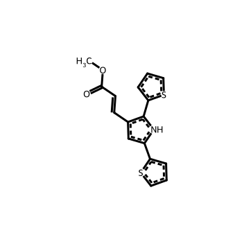 COC(=O)C=Cc1cc(-c2cccs2)[nH]c1-c1cccs1